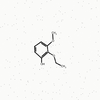 CCOc1c(O)[c]ccc1OC